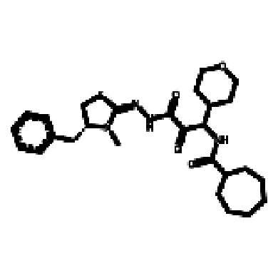 CN1C(=NNC(=O)C(=O)C(NC(=O)C2CCCCCC2)C2CCOCC2)SC[C@H]1Cc1ccccc1